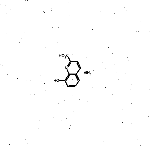 O=C(O)c1ccc2cccc(O)c2n1.[AlH3]